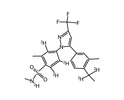 [2H]c1c([2H])c(S(=O)(=O)N([2H])C)c(C)c([2H])c1-n1nc(C(F)(F)F)cc1-c1ccc(C([2H])([2H])C)c(C)c1